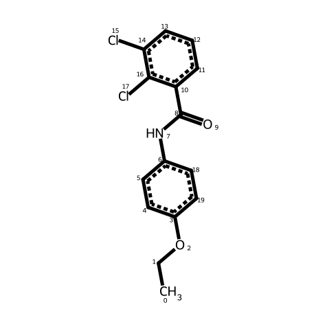 CCOc1ccc(NC(=O)c2cccc(Cl)c2Cl)cc1